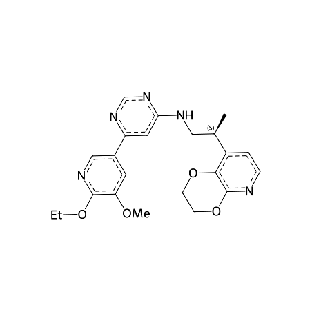 CCOc1ncc(-c2cc(NC[C@@H](C)c3ccnc4c3OCCO4)ncn2)cc1OC